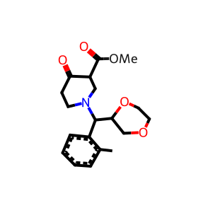 COC(=O)C1CN(C(c2ccccc2C)C2COCCO2)CCC1=O